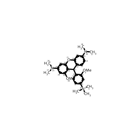 COc1cc([N+](C)(C)C)ccc1C1c2ccc(N(C)C)cc2Oc2cc(N(C)C)cc(OC)c21